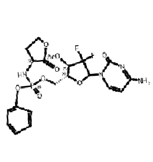 CC(=O)O[C@@H]1[C@@H](CO[P@@](=O)(N[C@H]2CCOC2=O)Oc2ccccc2)OC(n2ccc(N)nc2=O)C1(F)F